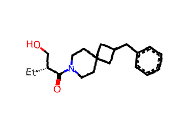 CC[C@H](CO)C(=O)N1CCC2(CC1)CC(Cc1ccccc1)C2